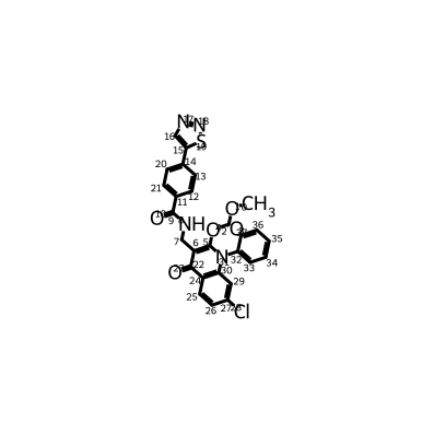 COC(=O)Oc1c(CNC(=O)c2ccc(-c3cnns3)cc2)c(=O)c2ccc(Cl)cc2n1-c1ccccc1